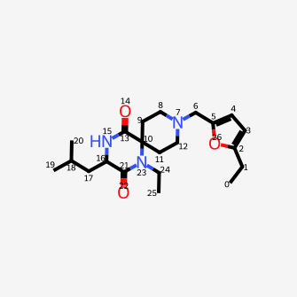 CCc1ccc(CN2CCC3(CC2)C(=O)NC(CC(C)C)C(=O)N3CC)o1